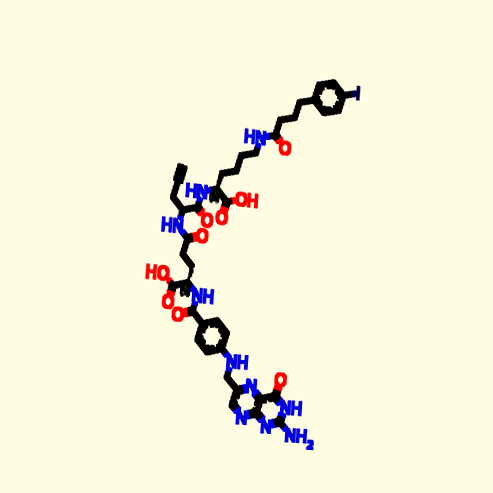 C#CCC(NC(=O)CC[C@H](NC(=O)c1ccc(NCc2cnc3nc(N)[nH]c(=O)c3n2)cc1)C(=O)O)C(=O)N[C@@H](CCCCNC(=O)CCCc1ccc(I)cc1)C(=O)O